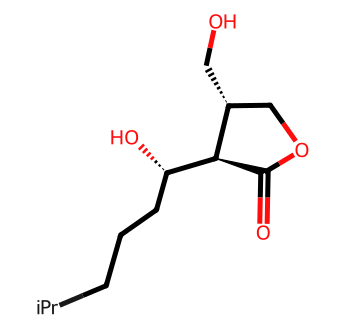 CC(C)CCC[C@H](O)[C@@H]1C(=O)OC[C@H]1CO